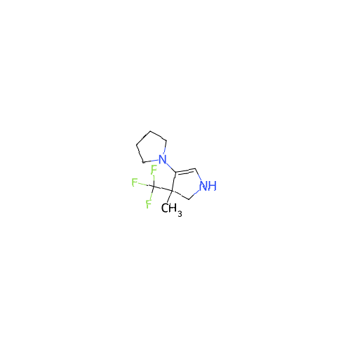 CC1(C(F)(F)F)CNC=C1N1CCCC1